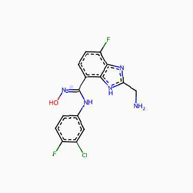 NCc1nc2c(F)ccc(/C(=N/O)Nc3ccc(F)c(Cl)c3)c2[nH]1